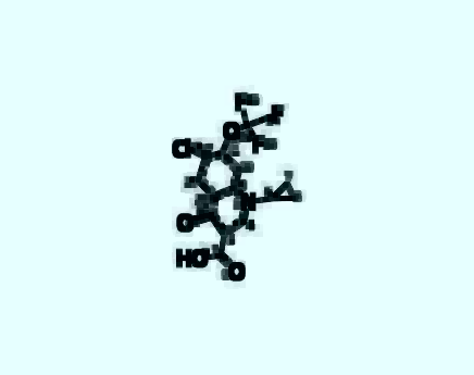 O=C(O)c1cn(C2CC2)c2cc(OC(F)(F)F)c(Cl)cc2c1=O